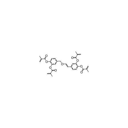 C=C(C)C(=O)Oc1ccc(/C=C/OCc2ccc(OC(=O)C(=C)C)c(OC(=O)C(=C)C)c2)cc1OC(=O)C(=C)C